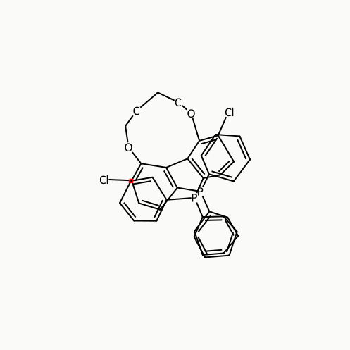 Clc1ccc(P(c2ccccc2)c2ccccc2)c2c1OCCCCOc1c(Cl)ccc(P(c3ccccc3)c3ccccc3)c1-2